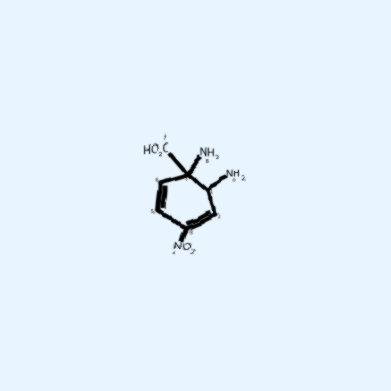 NC1C=C([N+](=O)[O-])C=CC1(N)C(=O)O